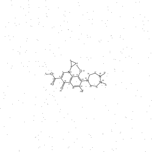 COC(=O)c1cn(C2CC2)c2c(OC)c(N3CCN(C)N(C)CC3)c(F)cc2c1=O